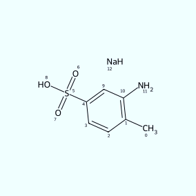 Cc1ccc(S(=O)(=O)O)cc1N.[NaH]